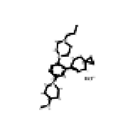 CCCN1CCN(c2ccc(N3CCC(OC)CC3)cc2C2=CCC3(CC2)CC3)CC1.Cl